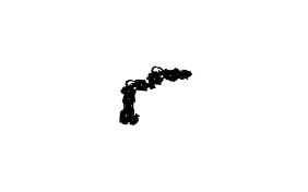 CC(c1ccc(Oc2ccc3c(c2)CN(c2cccc(C(C)(C)C)c2)C3)cc1)c1ccc(Oc2ccc3c(c2)CN(C(C)(C)C)C3)cc1